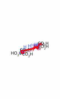 CC(=O)CC[C@@H](NC(=O)N[C@H](CCCCN(Cc1ccc(Br)nc1)C(=O)c1ccc(CNC(=O)CCCCNC(=O)CCCCCCNC(=O)CN2CCN(CC(=O)O)CCN(CC(=O)O)CCN(CC(=O)O)CC2)cc1)C(=O)O)C(=O)O